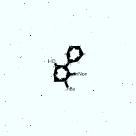 CCCCCCCCCc1c(CCCC)ccc(O)c1-c1ccccc1